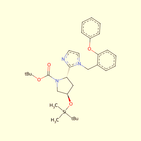 CC(C)(C)OC(=O)N1C[C@H](O[Si](C)(C)C(C)(C)C)C[C@H]1c1nccn1Cc1ccccc1Oc1ccccc1